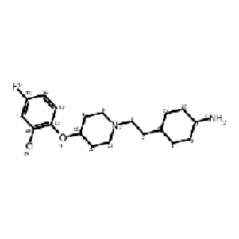 NC1CCC(CCN2CCC(Oc3ccc(F)cc3Cl)CC2)CC1